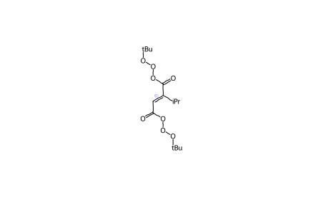 CC(C)/C(=C\C(=O)OOOC(C)(C)C)C(=O)OOOC(C)(C)C